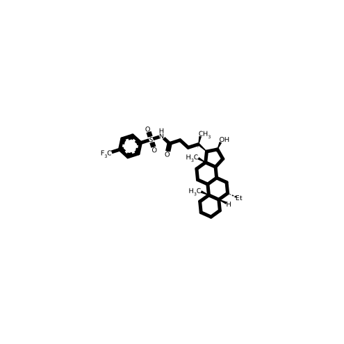 CC[C@H]1CC2C3C[C@H](O)[C@H]([C@H](C)CCC(=O)NS(=O)(=O)c4ccc(C(F)(F)F)cc4)[C@@]3(C)CCC2[C@@]2(C)CCCC[C@@H]12